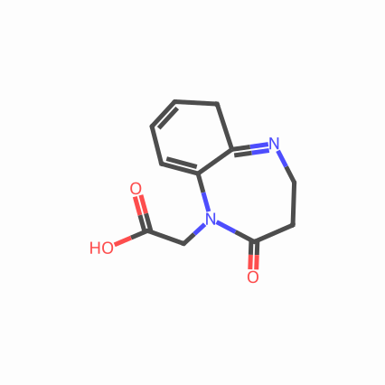 O=C(O)CN1C(=O)CCN=C2CC=CC=C21